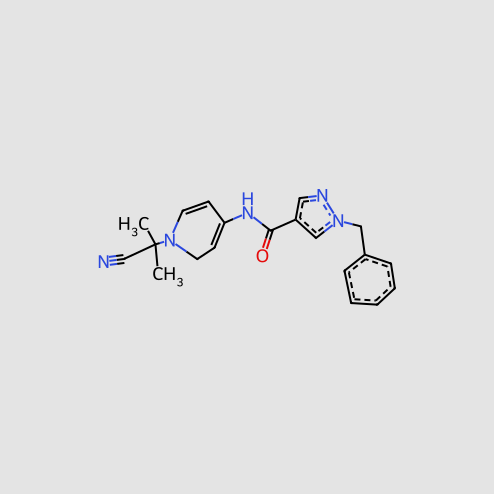 CC(C)(C#N)N1C=CC(NC(=O)c2cnn(Cc3ccccc3)c2)=CC1